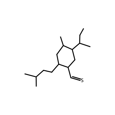 CCC(C)C1CC(C=S)C(CCC(C)C)CC1C